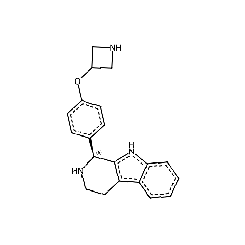 c1ccc2c3c([nH]c2c1)[C@H](c1ccc(OC2CNC2)cc1)NCC3